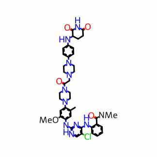 CNC(=O)c1ccccc1Nc1nc(Nc2cc(C)c(N3CCN(C(=O)CN4CCN(c5ccc(NC6CCC(=O)NC6=O)cc5)CC4)CC3)cc2OC)ncc1Cl